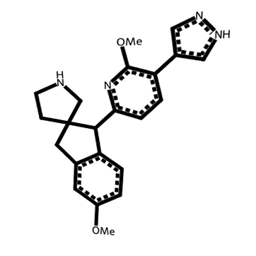 COc1ccc2c(c1)CC1(CCNC1)C2c1ccc(-c2cn[nH]c2)c(OC)n1